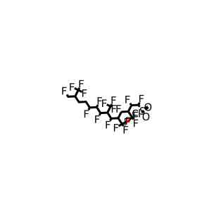 O=S(=O)(Cl)C(F)C(F)C(C(F)C(C(F)C(C(F)C(F)C(F)CCC(CF)C(F)(F)F)C(F)(F)F)C(F)(F)F)C(F)(F)F